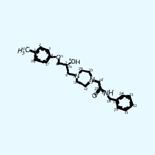 Cc1ccc(OC[C@@H](O)CN2CCN(CC(=O)NCc3ccccc3)CC2)cc1